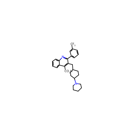 O=C(O)c1c(CC2CCC(N3CCCCC3)CC2)c(-c2cccc(C(F)(F)F)c2)nc2ccccc12